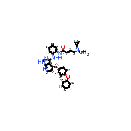 CN(CC=CC(=O)Nc1ccccc1Nc1n[nH]c2nccc(Oc3ccc(Oc4ccccc4)cc3)c12)C1CC1